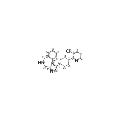 Clc1cccnc1C1CCC(c2nnc3n2-c2ccccc2CNC3)CC1